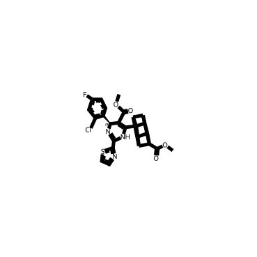 COC(=O)C1=C(C23C4C5C2C2C3C4C52C(=O)OC)NC(c2nccs2)=N[C@H]1c1ccc(F)cc1Cl